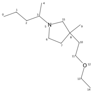 CCCC(C)N1CCC(C)(CCOCC)C1